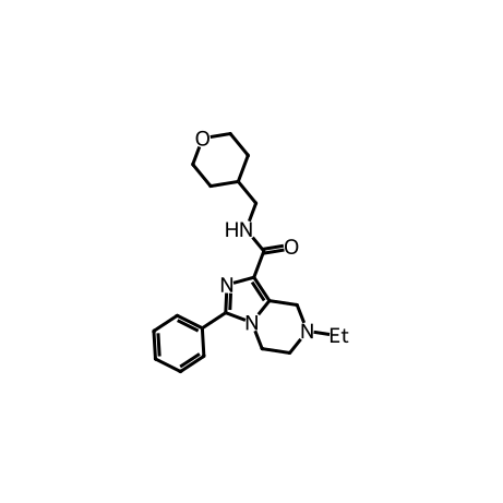 CCN1CCn2c(-c3ccccc3)nc(C(=O)NCC3CCOCC3)c2C1